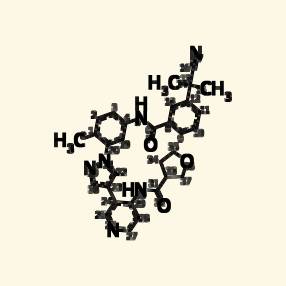 Cc1ccc(NC(=O)c2cccc(C(C)(C)C#N)c2)cc1-n1cc(-c2cnccc2NC(=O)C2CCOC2)cn1